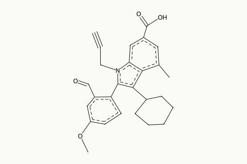 C#CCn1c(-c2ccc(OC)cc2C=O)c(C2CCCCC2)c2c(C)cc(C(=O)O)cc21